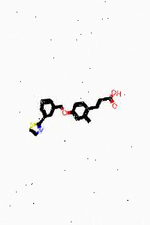 Cc1cc(OCc2cccc(-c3nccs3)c2)ccc1CCC(=O)O